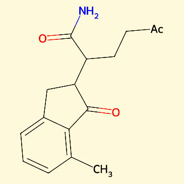 CC(=O)CCC(C(N)=O)C1Cc2cccc(C)c2C1=O